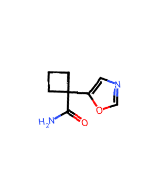 NC(=O)C1(c2cnco2)CCC1